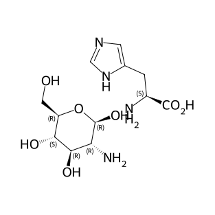 N[C@@H](Cc1cnc[nH]1)C(=O)O.N[C@@H]1[C@@H](O)[C@H](O)[C@@H](CO)O[C@H]1O